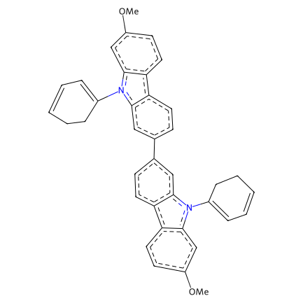 COc1ccc2c3ccc(-c4ccc5c6ccc(OC)cc6n(C6=CC=CCC6)c5c4)cc3n(C3=CC=CCC3)c2c1